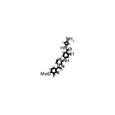 CCc1cc(Nc2nccn3c(-c4ccc(OC)c(F)c4F)cnc23)ccc1C(=O)N[C@H]1C[C@@H](N)C1